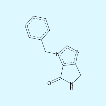 O=C1NCc2ncn(Cc3ccccc3)c21